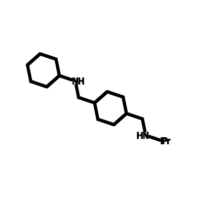 CC(C)NCC1CCC(CNC2CCCCC2)CC1